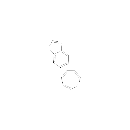 C1=CC=CNC=C1.c1ccc2scnc2c1